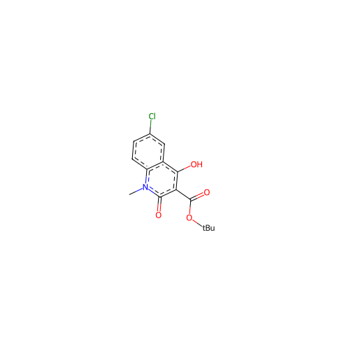 Cn1c(=O)c(C(=O)OC(C)(C)C)c(O)c2cc(Cl)ccc21